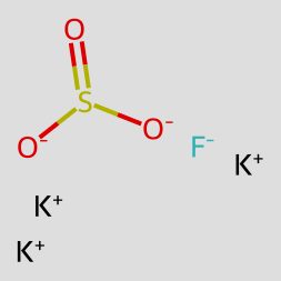 O=S([O-])[O-].[F-].[K+].[K+].[K+]